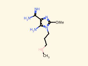 CBCCCn1c(OC)nc(C(=N)N)c1N